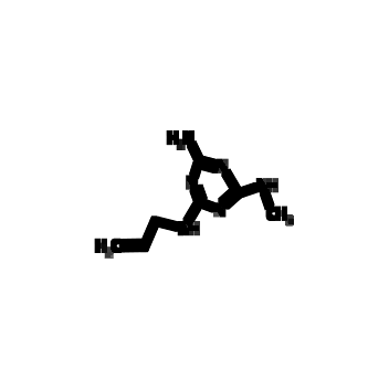 C=CCNc1nc(N)nc(NC)n1